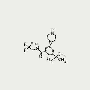 CC(C)(C)c1cc(C(=O)NCC(F)(F)F)cc(N2CCNCC2)c1